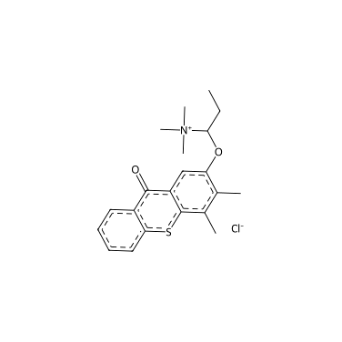 CCC(Oc1cc2c(=O)c3ccccc3sc2c(C)c1C)[N+](C)(C)C.[Cl-]